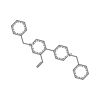 C=Cc1c[n+](Cc2ccccc2)ccc1-c1cc[n+](Cc2ccccc2)cc1